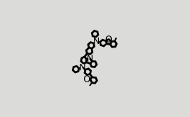 Cc1cccc2c1oc1cc(N(c3ccccc3)c3ccc4cc5c6ccc(N(c7ccccc7)c7ccc8c(c7)oc7c(C)cccc78)c7c8ccccc8n(c5cc4c3)c67)ccc12